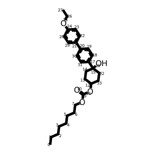 CCCCCCCCOC(=O)OC1CCC(O)(c2ccc(-c3ccc(OCC)cc3)cc2)CC1